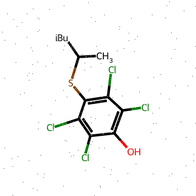 CCC(C)C(C)Sc1c(Cl)c(Cl)c(O)c(Cl)c1Cl